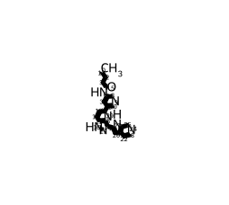 CCCCC(=O)Nc1cncc(-c2ccc3[nH]nc(-c4cc5ccncc5[nH]4)c3n2)c1